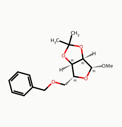 CO[C@@H]1O[C@H](COCc2ccccc2)[C@H]2OC(C)(C)O[C@@H]12